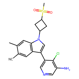 Cc1cc2c(cc1C#N)c(-c1cncc(N)c1Cl)cn2C1CC(S(C)(=O)=O)C1